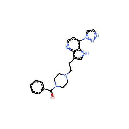 O=C(c1ccccc1)N1CCN(CCc2c[nH]c3c(-n4ccnn4)ccnc23)CC1